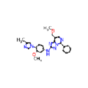 COCc1cnc(-c2ccccc2)n2nc(Nc3ccc(-n4cnc(C)c4)c(OC)c3)nc12